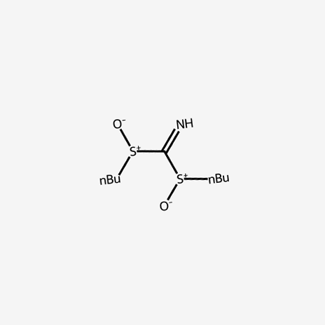 CCCC[S+]([O-])C(=N)[S+]([O-])CCCC